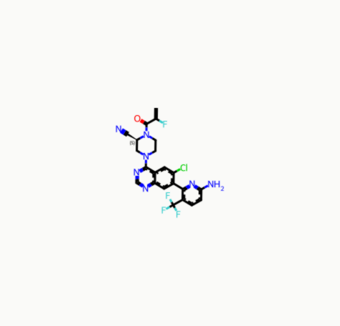 C=C(F)C(=O)N1CCN(c2ncnc3cc(-c4nc(N)ccc4C(F)(F)F)c(Cl)cc23)C[C@H]1C#N